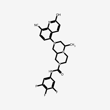 CC1CN(c2ccc(C#N)c3nc(O)ccc23)CC2CN(C(=O)Nc3cc(F)c(F)c(F)c3)CCN12